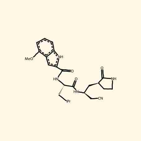 COc1cccc2[nH]c(C(=O)N[C@@H](CC(C)C)C(=O)N[C@H](CC#N)C[C@@H]3CCNC3=O)cc12